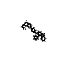 c1cnc2c(c1)ccc1ccc(-c3ccc(-n4c5ccccc5c5c6c(ccc54)oc4ccccc46)cc3)nc12